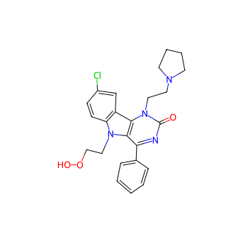 O=c1nc(-c2ccccc2)c2c(c3cc(Cl)ccc3n2CCOO)n1CCN1CCCC1